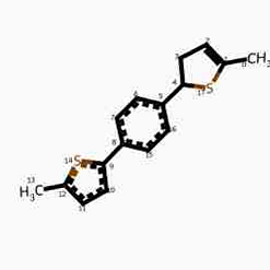 CC1=CCC(c2ccc(-c3ccc(C)s3)cc2)S1